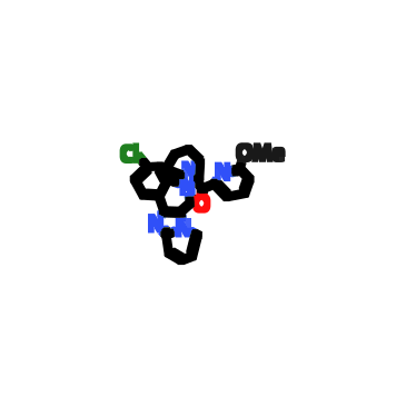 COc1cccc(C(=O)N2CC3CCC2CN(Cc2c(-c4ccc(Cl)cc4)nc4ccccn24)C3)n1